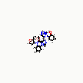 COc1ccccc1-n1nncc1-c1ncn2c1c(=O)n(C1CCOC1C)c1ccccc12